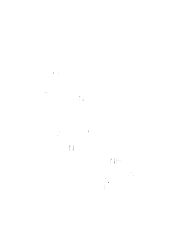 O=C1NC(=O)C2(CCCC2CNS(=O)(=O)c2cnc(-c3cc4ccccc4o3)c(F)c2)N1